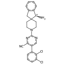 N#Cc1nc(N2CCC3(CC2)Cc2ccccc2[C@H]3N)ncc1-c1cccc(Cl)c1Cl